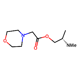 CN[C@@H](C)COC(=O)CN1CCOCC1